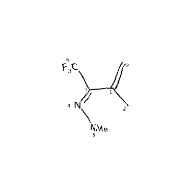 C=C(C)/C(=N\NC)C(F)(F)F